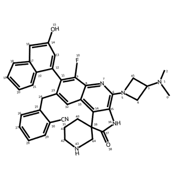 CN(C)C1CN(c2nc3c(F)c(-c4cc(O)cc5ccccc45)c(Cc4ccccc4C#N)cc3c3c2NC(=O)C32CCCNC2)C1